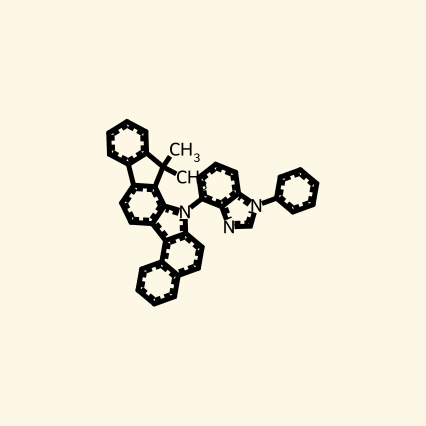 CC1(C)c2ccccc2-c2ccc3c4c5ccccc5ccc4n(-c4cccc5c4ncn5-c4ccccc4)c3c21